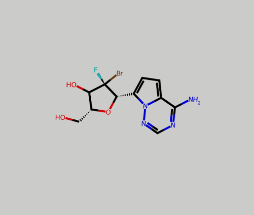 Nc1ncnn2c([C@@H]3O[C@H](CO)C(O)[C@]3(F)Br)ccc12